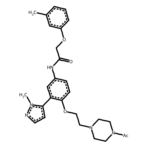 CC(=O)N1CCN(CCOc2ccc(NC(=O)COc3cccc(C)c3)cc2-c2ccnn2C)CC1